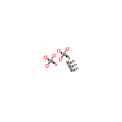 [Ba+2].[Ba+2].[Ba+2].[O-][Sb]([O-])([O-])=[S].[O-][Sb]([O-])([O-])=[S]